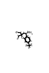 N[C@@H]1CC(CF)(CF)Oc2cc(C(F)(F)F)ccc21